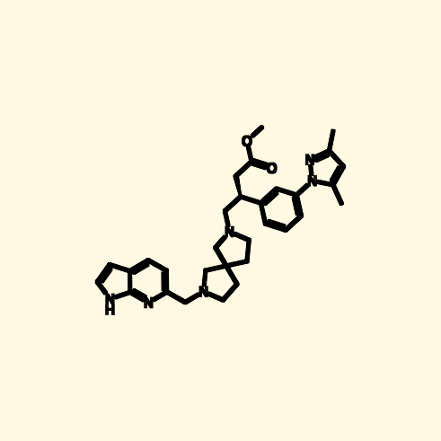 COC(=O)C[C@H](CN1CCC2(CCN(Cc3ccc4cc[nH]c4n3)C2)C1)c1cccc(-n2nc(C)cc2C)c1